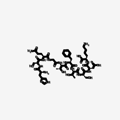 C[C@@H](O)[C@H](NC(=O)CNC(=O)[C@H](CCC(N)=O)NC(=O)[C@H](CO)NC(=O)[C@@H](N)Cc1c[nH]cn1)C(=O)N[C@H](Cc1ccccc1)C(=O)N[C@H](C(=O)N[C@@H](CO)C(=O)N[C@@H](CC(=O)O)C(=O)N[C@@H](CCCCN)C(=O)O)[C@@H](C)O